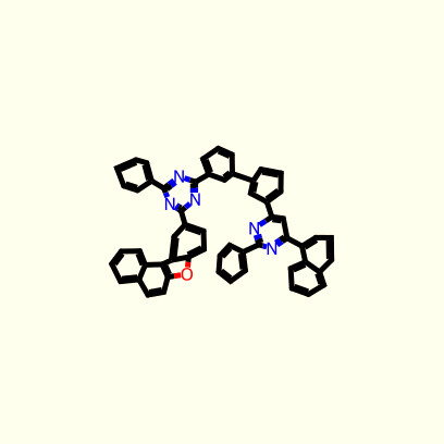 c1ccc(-c2nc(-c3cccc(-c4cccc(-c5nc(-c6ccccc6)nc(-c6ccc7oc8ccc9ccccc9c8c7c6)n5)c4)c3)cc(-c3cccc4ccccc34)n2)cc1